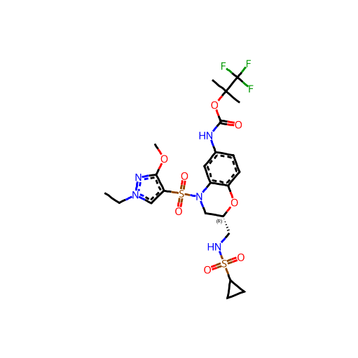 CCn1cc(S(=O)(=O)N2C[C@@H](CNS(=O)(=O)C3CC3)Oc3ccc(NC(=O)OC(C)(C)C(F)(F)F)cc32)c(OC)n1